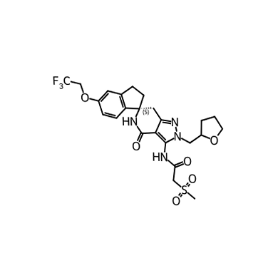 CS(=O)(=O)CC(=O)Nc1c2c(nn1CC1CCCO1)C[C@]1(CCc3cc(OCC(F)(F)F)ccc31)NC2=O